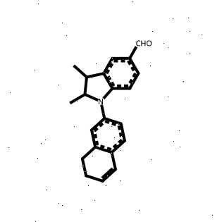 CC1c2cc(C=O)ccc2N(c2ccc3c(c2)CCC=C3)C1C